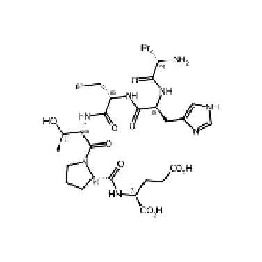 CC(C)C[C@H](NC(=O)[C@H](Cc1c[nH]cn1)NC(=O)[C@@H](N)C(C)C)C(=O)N[C@H](C(=O)N1CCC[C@H]1C(=O)N[C@@H](CCC(=O)O)C(=O)O)[C@@H](C)O